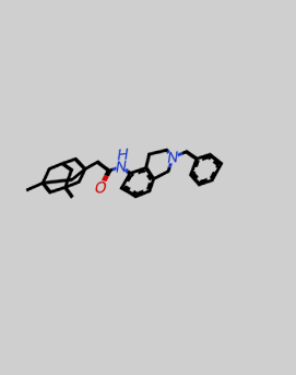 CC12CC3CC(C)(C1)CC(CC(=O)Nc1cccc4c1CCN(Cc1ccccc1)C4)(C3)C2